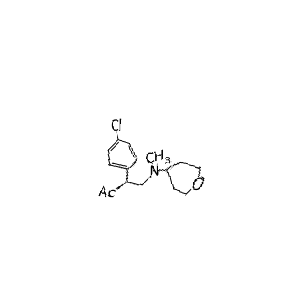 CC(=O)[C@H](CN(C)C1CCOCC1)c1ccc(Cl)cc1